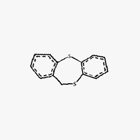 c1ccc2c(c1)CSc1ccccc1S2